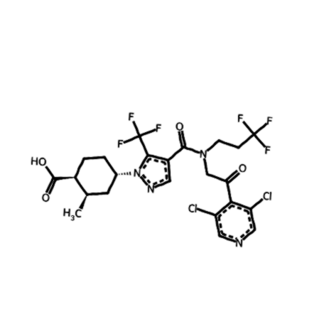 C[C@@H]1C[C@@H](n2ncc(C(=O)N(CCC(F)(F)F)CC(=O)c3c(Cl)cncc3Cl)c2C(F)(F)F)CC[C@@H]1C(=O)O